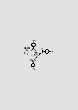 CC(C)(C)c1ccc(C(=O)OCC[N+](C)(CCOC(=O)c2ccc(C(C)(C)C)cc2)CCOC(=O)c2ccc(C(C)(C)C)cc2)cc1.COS(=O)(=O)O